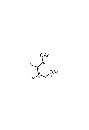 CC(=O)OCC(C)=C(C)COC(C)=O